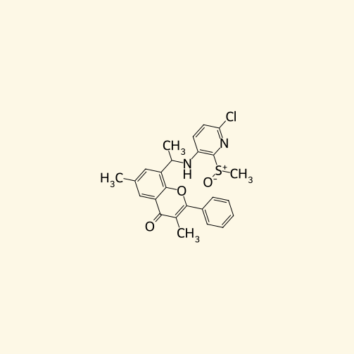 Cc1cc(C(C)Nc2ccc(Cl)nc2[S+](C)[O-])c2oc(-c3ccccc3)c(C)c(=O)c2c1